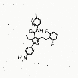 CCc1c(-c2ccc(N)cc2)sc(CCc2c(F)cccc2F)c1C(=O)Nc1ccc(C)nn1